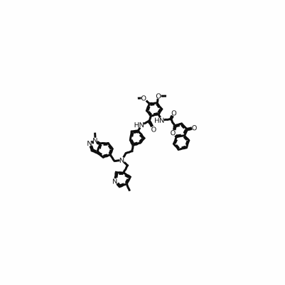 COc1cc(NC(=O)c2cc(=O)c3ccccc3o2)c(C(=O)Nc2ccc(CCN(Cc3cncc(C)c3)Cc3ccc4c(cnn4C)c3)cc2)cc1OC